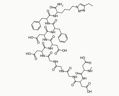 CCc1cn(CCCCC(NC(=O)C(Cc2ccccc2)NC(=O)C(Cc2ccccc2)NC(=O)C(CC(=O)O)NC(=O)C(CC(=O)O)NC(=O)C(CC(=O)O)NC(=O)CNC(=O)CNC(=O)CNC(=O)C(CC(=O)O)NC(=O)C(CC(=O)O)NC)C(N)=O)nn1